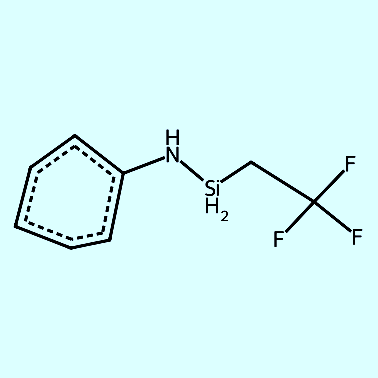 FC(F)(F)C[SiH2]Nc1ccccc1